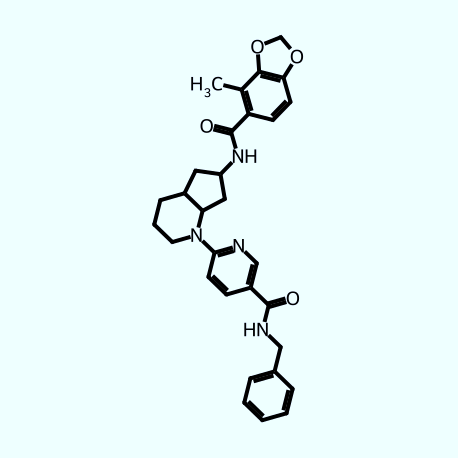 Cc1c(C(=O)NC2CC3CCCN(c4ccc(C(=O)NCc5ccccc5)cn4)C3C2)ccc2c1OCO2